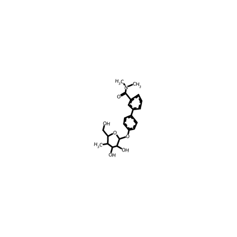 CC1C(CO)OC(Oc2ccc(-c3cccc(C(=O)N(C)C)c3)cc2)C(O)C1O